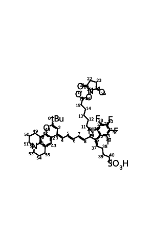 CC(C)(C)C1=C\C(=C/C=C/C=C/C2=[N+](CCCCCC(=O)ON3C(=O)CCC3=O)c3c(F)c(F)c(F)c(F)c3/C2=C\CCCS(=O)(=O)O)c2cc3c4c(c2O1)CCCN4CCC3